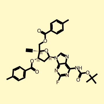 C#C[C@]1(COC(=O)c2ccc(C)cc2)O[C@@H](n2cnc3c(NC(=O)OC(C)(C)C)nc(F)nc32)C[C@@H]1OC(=O)c1ccc(C)cc1